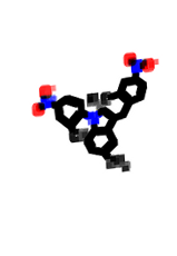 Bc1ccc2c(c1)C(Cc1ccc([N+](=O)[O-])cc1C)CN2c1ccc([N+](=O)[O-])cc1C